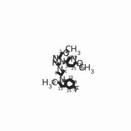 COCc1nnc(N2CC(n3c(C)cc4cc(F)ccc43)C2)n1-c1ccc(OC)nc1